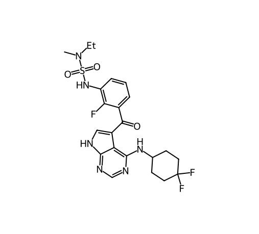 CCN(C)S(=O)(=O)Nc1cccc(C(=O)c2c[nH]c3ncnc(NC4CCC(F)(F)CC4)c23)c1F